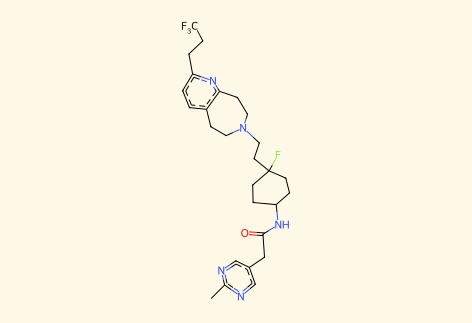 Cc1ncc(CC(=O)NC2CCC(F)(CCN3CCc4ccc(CCC(F)(F)F)nc4CC3)CC2)cn1